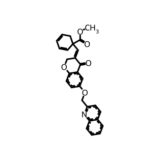 COC(=O)C1(C=C2COc3ccc(OCc4ccc5ccccc5n4)cc3C2=O)C=CC=CC1